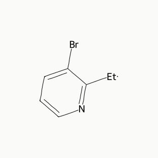 C[CH]c1ncccc1Br